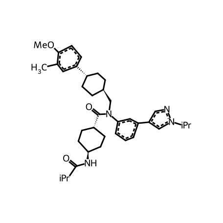 COc1ccc([C@H]2CC[C@H](CN(c3cccc(-c4cnn(C(C)C)c4)c3)C(=O)[C@H]3CC[C@H](NC(=O)C(C)C)CC3)CC2)cc1C